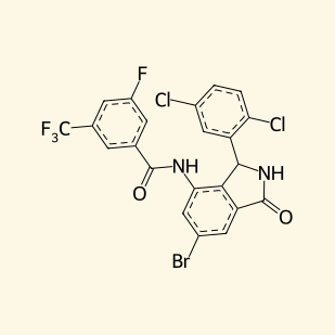 O=C(Nc1cc(Br)cc2c1C(c1cc(Cl)ccc1Cl)NC2=O)c1cc(F)cc(C(F)(F)F)c1